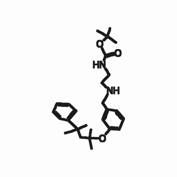 CC(C)(C)OC(=O)NCCNCc1cccc(OC(C)(C)CC(C)(C)c2ccccc2)c1